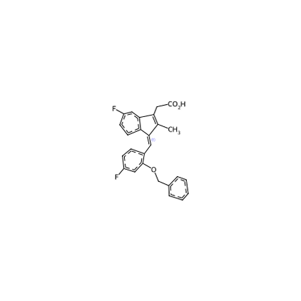 CC1=C(CC(=O)O)c2cc(F)ccc2/C1=C\c1ccc(F)cc1OCc1ccccc1